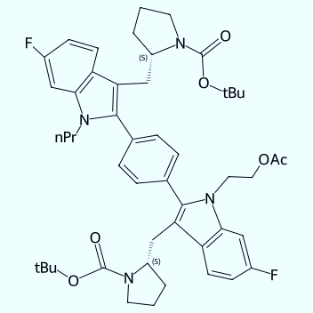 CCCn1c(-c2ccc(-c3c(C[C@@H]4CCCN4C(=O)OC(C)(C)C)c4ccc(F)cc4n3CCOC(C)=O)cc2)c(C[C@@H]2CCCN2C(=O)OC(C)(C)C)c2ccc(F)cc21